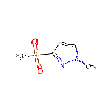 Cn1ccc(S(C)(=O)=O)n1